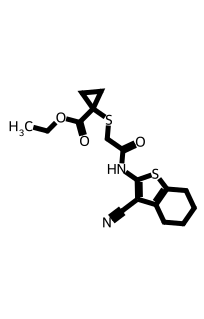 CCOC(=O)C1(SCC(=O)Nc2sc3c(c2C#N)CCCC3)CC1